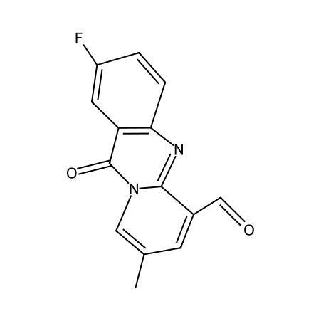 Cc1cc(C=O)c2nc3ccc(F)cc3c(=O)n2c1